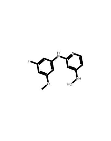 COc1cc(F)cc(Nc2cc(NO)ccn2)c1